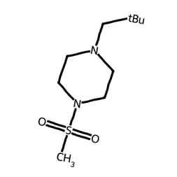 CC(C)(C)CN1CCN(S(C)(=O)=O)CC1